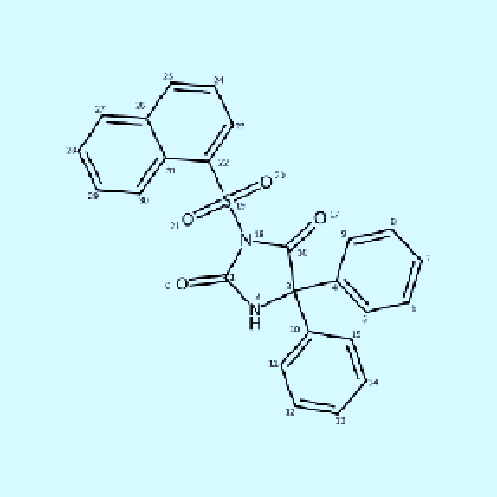 O=C1NC(c2ccccc2)(c2ccccc2)C(=O)N1S(=O)(=O)c1cccc2ccccc12